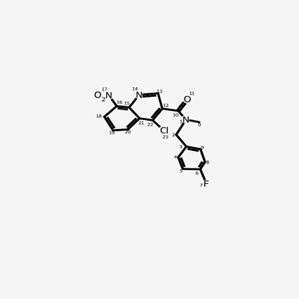 CN(Cc1ccc(F)cc1)C(=O)c1cnc2c([N+](=O)[O-])cccc2c1Cl